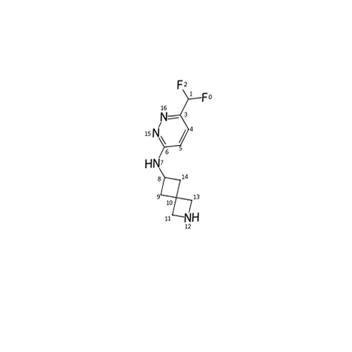 FC(F)c1ccc(NC2CC3(CNC3)C2)nn1